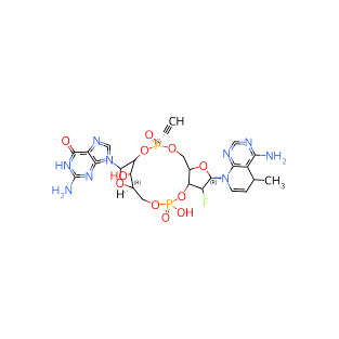 C#C[P@]1(=O)OCC2O[C@@H](N3C=CC(C)c4c(N)ncnc43)C(F)C2OP(=O)(O)OC[C@H]2OC(n3cnc4c(=O)[nH]c(N)nc43)C(O1)C2O